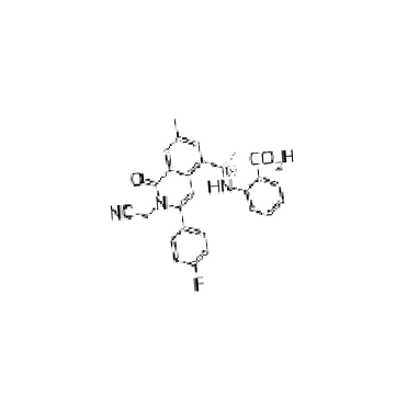 Cc1cc([C@H](C)Nc2ccccc2C(=O)O)c2cc(-c3ccc(F)cc3)n(CC#N)c(=O)c2c1